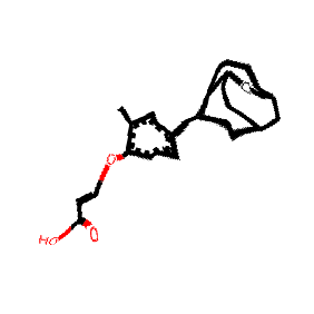 Cc1cc(C2CC3CC4CCC2C(C4)C3)ccc1O/C=C/C(=O)O